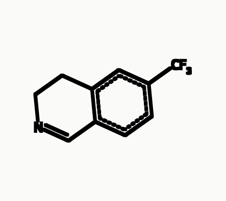 FC(F)(F)c1ccc2c(c1)CCN=C2